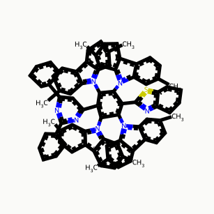 Cc1ccc2c3ccc(C)cc3n(-c3c(-c4cc(-c5ccccc5)nc(-c5ccccc5)n4)c(-n4c5cc(C)ccc5c5ccc(C)cc54)c(-n4c5cc(C)ccc5c5ccc(C)cc54)c(-c4nc5ccccc5s4)c3-n3c4cc(C)ccc4c4ccc(C)cc43)c2c1